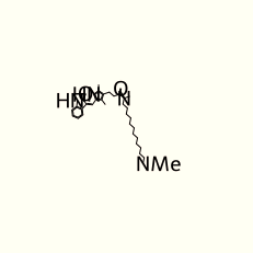 CNCCCCCCCCCCCCN(C)C(=O)CCc1c(C)[nH]c(C=C2C(=O)Nc3ccccc32)c1C